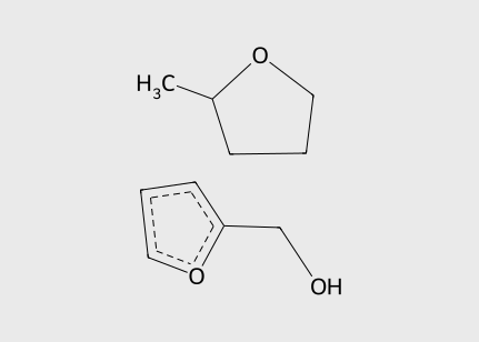 CC1CCCO1.OCc1ccco1